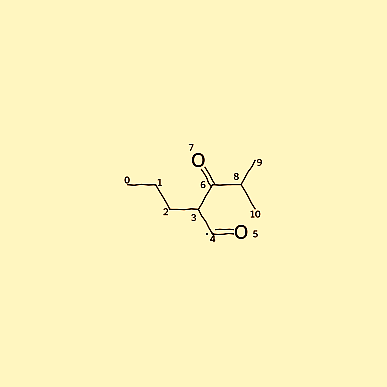 CCCC([C]=O)C(=O)C(C)C